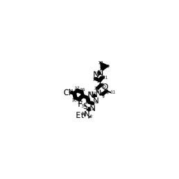 CCN(C)c1nc2nc(N3C[C@H](C)O[C@@H](c4cnn(C5CC5)c4)C3)nc(-c3ccc(Cl)cc3F)c2s1